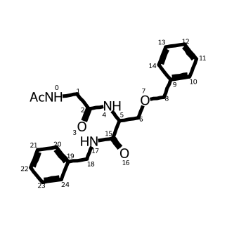 CC(=O)NCC(=O)NC(COCc1ccccc1)C(=O)NCc1ccccc1